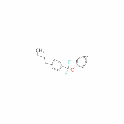 CCCCc1ccc(C(F)(F)Oc2cc[c]cc2)cc1